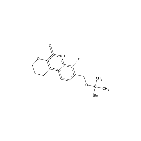 CC(C)(C)[Si](C)(C)OCc1ccc2c3c(c(=O)[nH]c2c1F)OCCC3